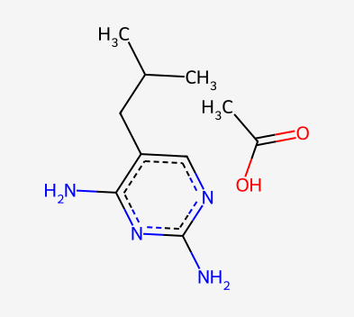 CC(=O)O.CC(C)Cc1cnc(N)nc1N